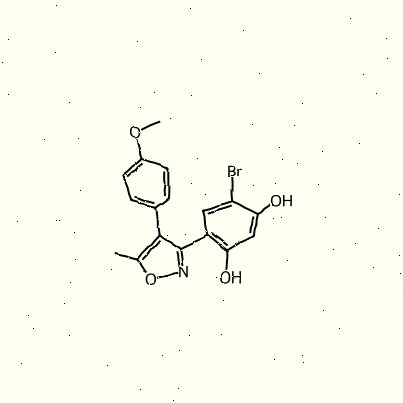 COc1ccc(-c2c(-c3cc(Br)c(O)cc3O)noc2C)cc1